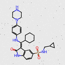 O=C1Nc2ccc(S(=O)(=O)NCC3CC3)cc2/C1=C(/Nc1ccc(N2CCNCC2)cc1)C1CCCCC1